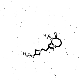 COC1CN(CCc2cc3n(n2)CCCC(=O)N3C)C1